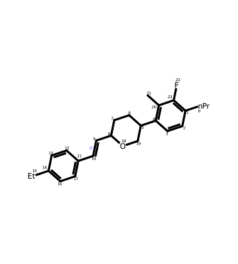 CCCc1ccc(C2CCC(/C=C/c3ccc(CC)cc3)OC2)c(C)c1F